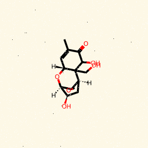 CC1=C[C@H]2O[C@@H]3[C@H](O)C[C@@H](C34CO4)C2(CO)C(O)C1=O